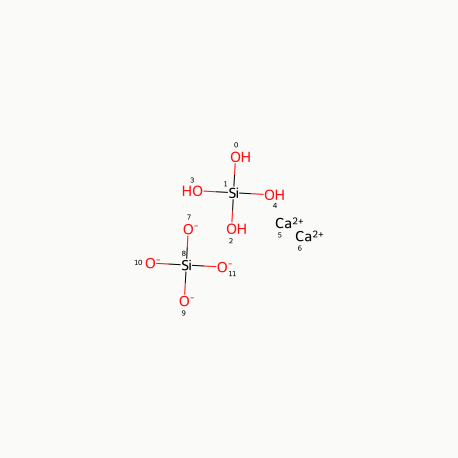 O[Si](O)(O)O.[Ca+2].[Ca+2].[O-][Si]([O-])([O-])[O-]